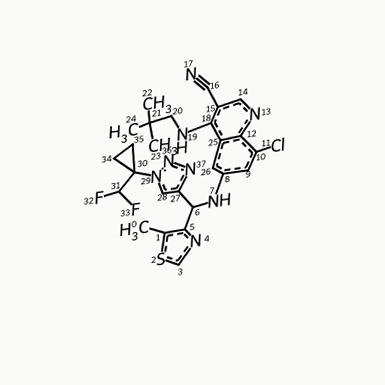 Cc1scnc1C(Nc1cc(Cl)c2ncc(C#N)c(NCC(C)(C)C)c2c1)c1cn(C2(C(F)F)CC2)nn1